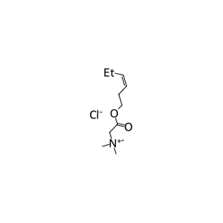 CC/C=C\CCOC(=O)C[N+](C)(C)C.[Cl-]